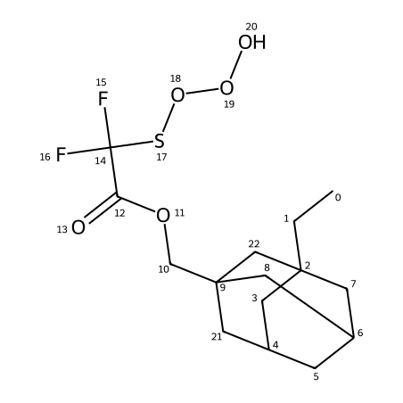 CCC12CC3CC(C1)CC(COC(=O)C(F)(F)SOOO)(C3)C2